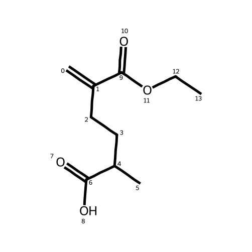 C=C(CCC(C)C(=O)O)C(=O)OCC